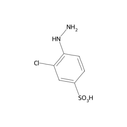 NNc1ccc(S(=O)(=O)O)cc1Cl